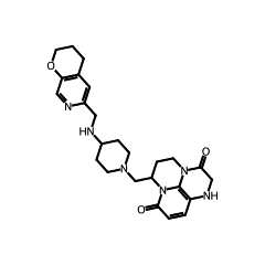 O=C1CNc2ccc(=O)n3c2N1CCC3CN1CCC(NCc2cc3c(cn2)OCCC3)CC1